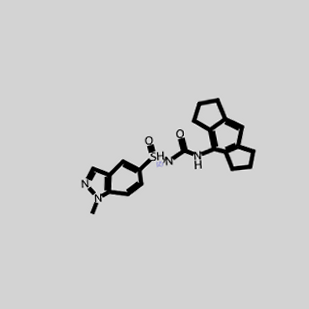 Cn1ncc2cc(/[SH](=O)=N/C(=O)Nc3c4c(cc5c3CCC5)CCC4)ccc21